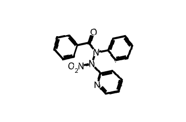 O=C(c1ccccc1)N(c1[c]cccc1)N(c1ccccn1)[N+](=O)[O-]